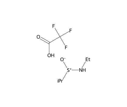 CCN[S+]([O-])C(C)C.O=C(O)C(F)(F)F